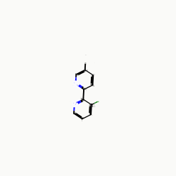 Cc1ccc(-c2ncccc2F)nc1